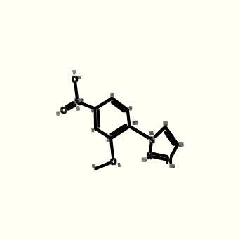 COc1cc([N+](=O)[O-])ccc1-n1ccnn1